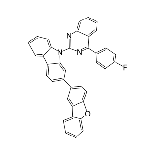 Fc1ccc(-c2nc(-n3c4ccccc4c4ccc(-c5ccc6oc7ccccc7c6c5)cc43)nc3ccccc23)cc1